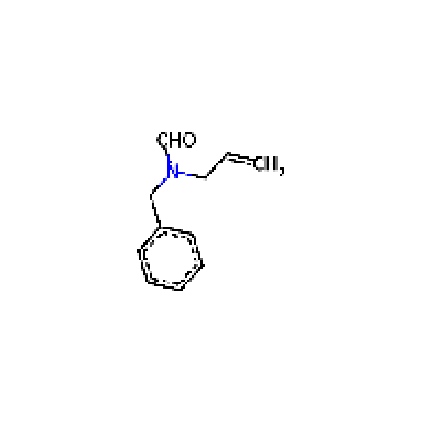 C=CCN(C=O)Cc1ccccc1